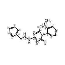 CCc1ccccc1-n1c(C)nc(NNCc2ccccc2)nc1=O